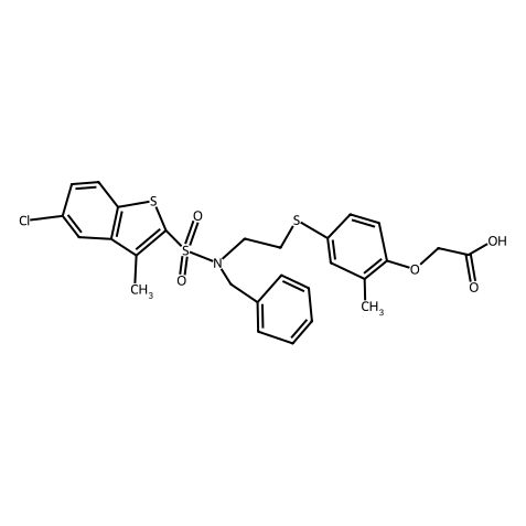 Cc1cc(SCCN(Cc2ccccc2)S(=O)(=O)c2sc3ccc(Cl)cc3c2C)ccc1OCC(=O)O